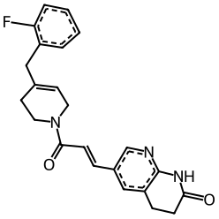 O=C1CCc2cc(C=CC(=O)N3CC=C(Cc4ccccc4F)CC3)cnc2N1